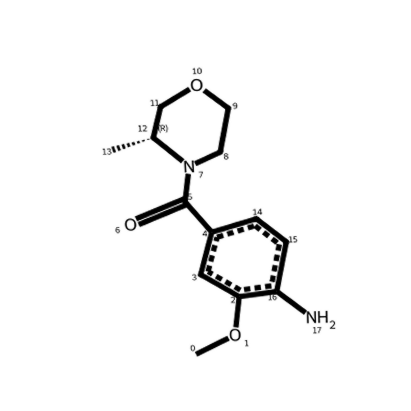 COc1cc(C(=O)N2CCOC[C@H]2C)ccc1N